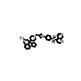 CCN1Cc2ccccc2C(C2CCCC2)(C2CCN(CC3CN(c4ccc(S(=O)(=O)c5ccnc6cnccc56)cc4)C3)CC2)C1